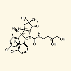 CC1(C)C[C@@H]2N(C1=O)[C@@H](C(=O)NCC[C@H](O)CO)[C@H](c1cccc(Cl)c1F)[C@@]2(C#N)c1ccc(Cl)cc1F